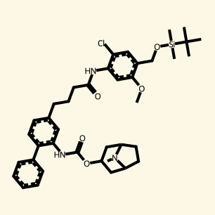 COc1cc(NC(=O)CCCc2ccc(-c3ccccc3)c(NC(=O)OC3CC4CCC(C3)N4C)c2)c(Cl)cc1CO[Si](C)(C)C(C)(C)C